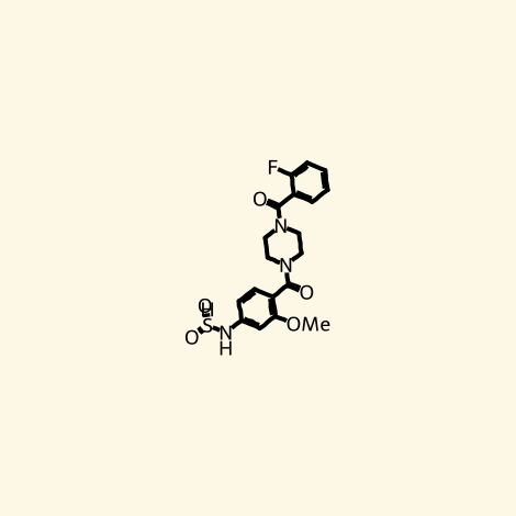 COc1cc(N[SH](=O)=O)ccc1C(=O)N1CCN(C(=O)c2ccccc2F)CC1